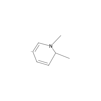 CC1C=C[C]=CN1C